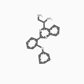 NCC(N)c1nc(-c2ccccc2Oc2ccccc2)nc2ccccc12